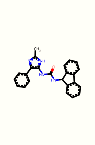 Cc1nc(-c2ccccc2)c(NC(=O)NC2c3ccccc3-c3ccccc32)[nH]1